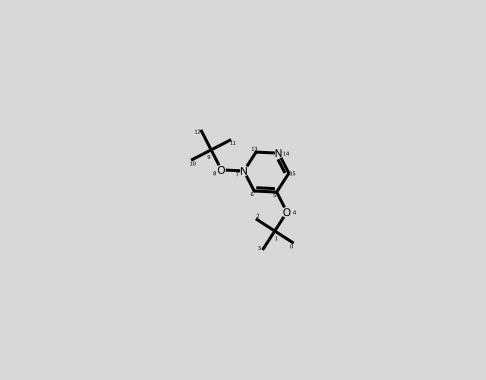 CC(C)(C)OC1=CN(OC(C)(C)C)CN=C1